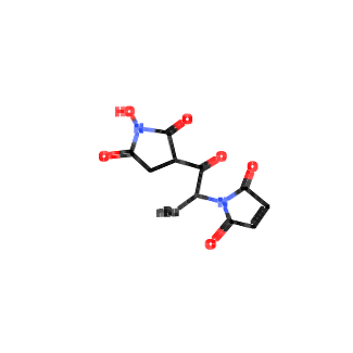 CCCCC(C(=O)C1CC(=O)N(O)C1=O)N1C(=O)C=CC1=O